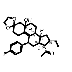 CC[C@@H]1C[C@H]2[C@@H]3CC[C@@]4(O)CC5(CCC4=C3C(c3ccc(I)cc3)C[C@]2(C)[C@H]1C(C)=O)OCCO5